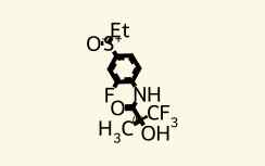 CC[S+]([O-])c1ccc(NC(=O)[C@@](C)(O)C(F)(F)F)c(F)c1